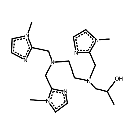 CC(O)CN(CCN(Cc1nccn1C)Cc1nccn1C)Cc1nccn1C